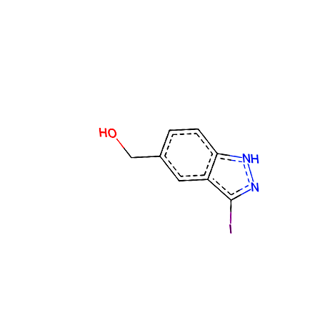 OCc1ccc2[nH]nc(I)c2c1